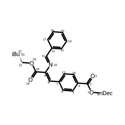 CCCCCCCCCCOC(=O)c1ccc(C=C(N=Cc2ccccc2)C(=O)OC[C@@H](C)CC)cc1